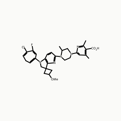 COC1CC2(C1)CN(C1=CCC=C(Cl)C(F)=C1)c1ccc(N3CCN(c4cc(C)c(C(=O)O)c(C)n4)CC3C)nc12